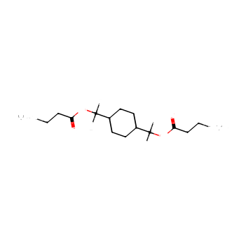 CCC(CC)(OC(=O)CCSC)C1CCC(C(CC)(CC)OC(=O)CCSC)CC1